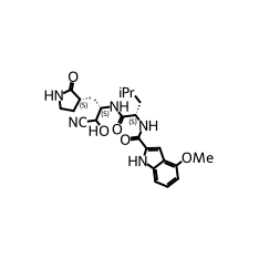 COc1cccc2[nH]c(C(=O)N[C@@H](CC(C)C)C(=O)N[C@@H](C[C@@H]3CCNC3=O)C(O)C#N)cc12